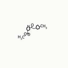 CCOC(=O)c1ccnc(C(=O)Cc2ccc(C)cc2)c1